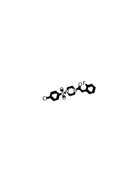 O=C(Cc1ccccc1F)N1CCN(S(=O)(=O)c2ccc(Cl)cc2)CC1